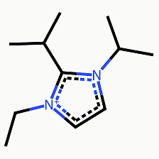 CC[n+]1ccn(C(C)C)c1C(C)C